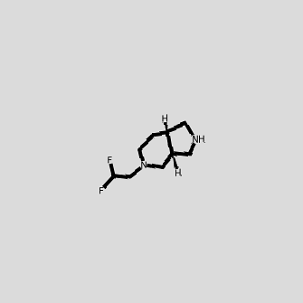 FC(F)CN1CC[C@@H]2CNC[C@@H]2C1